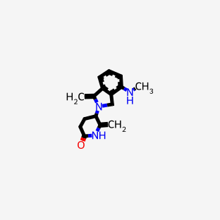 C=C1NC(=O)CCC1N1Cc2c(NC)cccc2C1=C